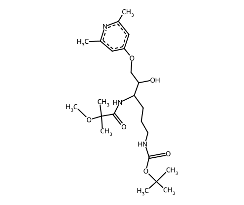 COC(C)(C)C(=O)NC(CCCNC(=O)OC(C)(C)C)C(O)COc1cc(C)nc(C)c1